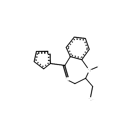 CN1c2ccccc2C(c2cccs2)=NCC1CN